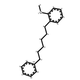 COc1ccccc1CC[CH]CCCc1ccccc1